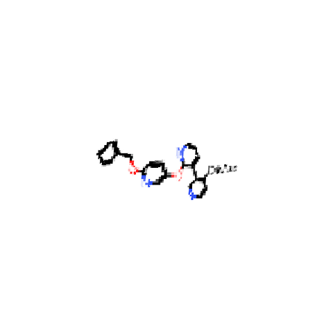 COc1ccncc1-c1cccnc1Oc1ccc(OCc2ccccc2)nc1